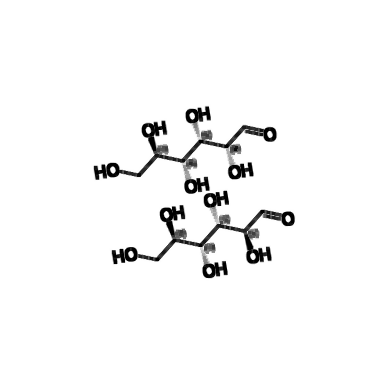 O=C[C@@H](O)[C@@H](O)[C@H](O)[C@H](O)CO.O=C[C@H](O)[C@@H](O)[C@H](O)[C@H](O)CO